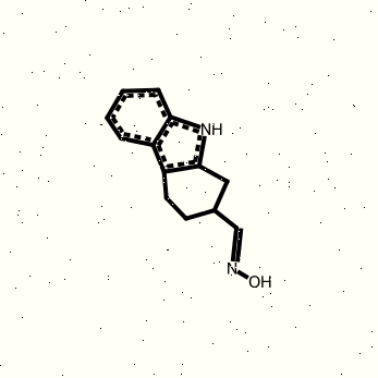 ON=CC1CCc2c([nH]c3ccccc23)C1